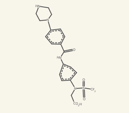 O=C(O)CN(c1ccc(NC(=O)c2ccc(N3CCNCC3)cc2)cc1)S(=O)(=O)C(F)(F)F